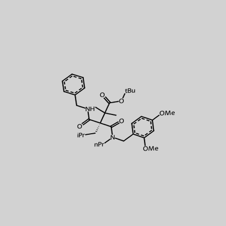 CCCN(Cc1ccc(OC)cc1OC)C(=O)[C@@](CC(C)C)(C(=O)NCc1ccccc1)C(C)(C)C(=O)OC(C)(C)C